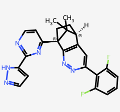 CC1(C)[C@H]2CC[C@@]1(c1ccnc(-c3ccn[nH]3)n1)c1nnc(-c3c(F)cccc3F)cc12